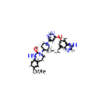 COc1ccc2c(c1)CCN(C1CCN(c3cc(Oc4cc(C)c5nc[nH]c5c4)ncn3)CC1)C(=O)N2